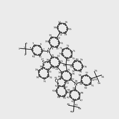 CC(C)(C)c1ccc(N(c2ccc(-c3ccccc3)cc2)c2cc3c(c4c2sc2ccccc24)-c2c(cc(N(c4ccc(C(C)(C)C)cc4)c4ccc(C(C)(C)C)cc4)c4c2oc2ccccc24)C3(c2ccccc2)c2ccccc2)cc1